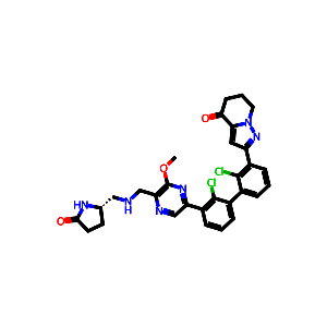 COc1nc(-c2cccc(-c3cccc(-c4cc5n(n4)CCCC5=O)c3Cl)c2Cl)cnc1CNC[C@@H]1CCC(=O)N1